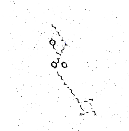 CCC(=O)NCCNC(=O)/N=C(/N)NCCC[C@@H](NC(=O)[C@H](c1ccccc1)c1cccc(OCCCCNC(=O)NNC(=O)CCNC(=O)CN2CCN(CC(=O)O)CCN(CC(=O)O)CCN(CC(=O)O)CC2)c1)C(=O)NCc1ccc(O)cc1